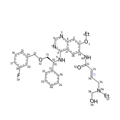 CCOc1cc2ncnc(N[C@H](COCc3cccc(F)c3)c3ccccc3)c2cc1NC(=O)/C=C/CN(CC)CO